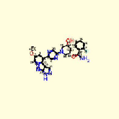 CCOc1cc(-c2cnc(N3CC[C@@H](c4cccc(F)c4C(N)=O)[C@H](O)C3)cn2)c2c3cn[nH]c3nn2c1